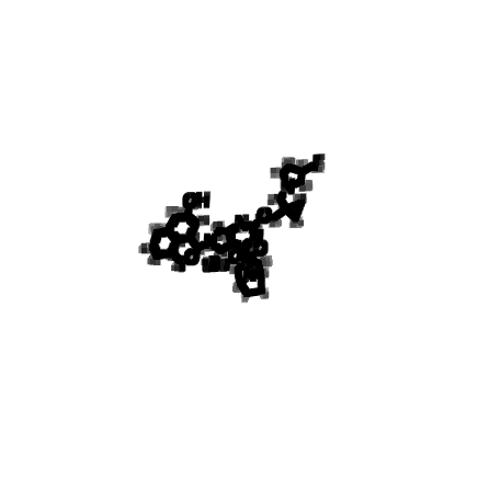 CC(C)(C)OC(=O)N1C2CCC1CN(c1nc(OCC3(CN4CCC(F)C4)CC3)nc3c1CN(C(=O)c1cc(O)cc4cccc(I)c14)C3)C2